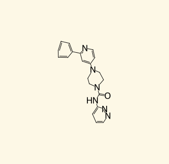 O=C(Nc1cccnn1)N1CCN(c2ccnc(-c3ccccc3)c2)CC1